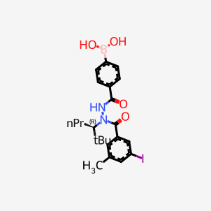 CCC[C@@H](N(NC(=O)c1ccc(B(O)O)cc1)C(=O)c1cc(C)cc(I)c1)C(C)(C)C